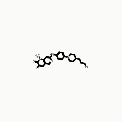 Cn1c(=O)c(F)cc2cnc(Nc3ccc(N4CCC(CCCO)CC4)cc3)cc21